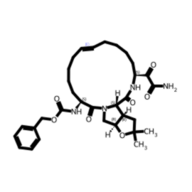 CC1(C)C[C@H]2[C@H](CN3C(=O)[C@@H](NC(=O)OCc4ccccc4)CCCC/C=C/CCCC[C@@H](C(=O)C(N)=O)NC(=O)[C@H]23)O1